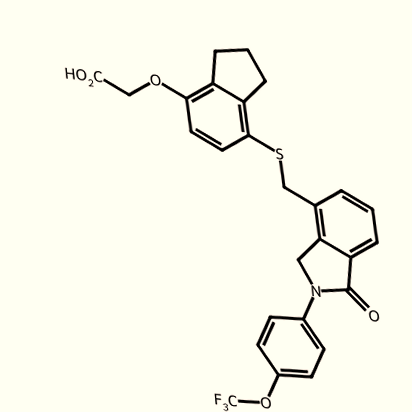 O=C(O)COc1ccc(SCc2cccc3c2CN(c2ccc(OC(F)(F)F)cc2)C3=O)c2c1CCC2